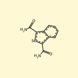 NC(=O)c1[se]c(C(N)=O)c2ccccc12